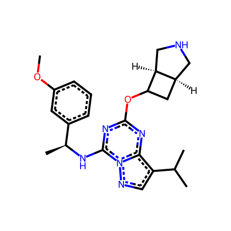 COc1cccc([C@H](C)Nc2nc(OC3C[C@@H]4CNC[C@H]34)nc3c(C(C)C)cnn23)c1